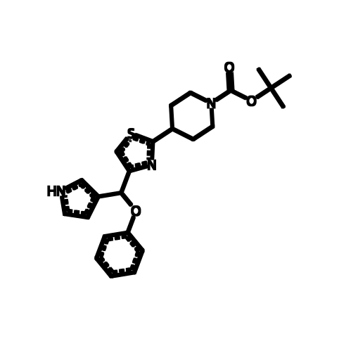 CC(C)(C)OC(=O)N1CCC(c2nc(C(Oc3ccccc3)c3cc[nH]c3)cs2)CC1